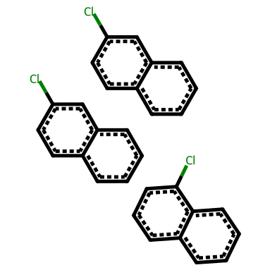 Clc1ccc2ccccc2c1.Clc1ccc2ccccc2c1.Clc1cccc2ccccc12